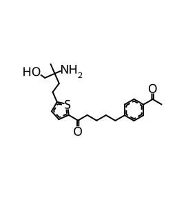 CC(=O)c1ccc(CCCCC(=O)c2ccc(CCC(C)(N)CO)s2)cc1